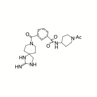 CC(=O)N1CCC(NS(=O)(=O)c2cccc(C(=O)N3CCC4(CC3)CNC(=N)N4)c2)CC1